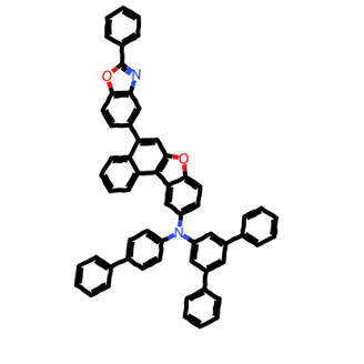 c1ccc(-c2ccc(N(c3cc(-c4ccccc4)cc(-c4ccccc4)c3)c3ccc4oc5cc(-c6ccc7oc(-c8ccccc8)nc7c6)c6ccccc6c5c4c3)cc2)cc1